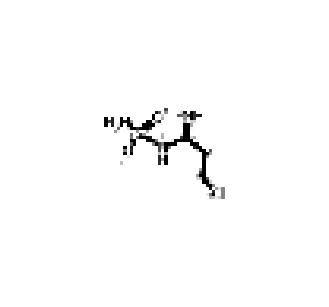 N=C(CCCl)NS(N)(=O)=O